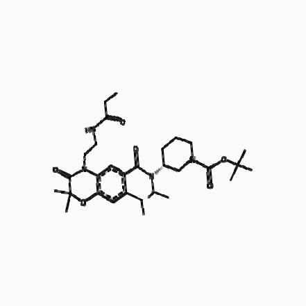 CCC(=O)NCCN1C(=O)C(C)(C)Oc2cc(CC)c(C(=O)N(C(C)C)[C@@H]3CCCN(C(=O)OC(C)(C)C)C3)cc21